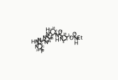 CCNC(=O)OCc1ccnc(C(=O)N[C@@H]2CCC[C@H](Nc3nc(-c4n[nH]c5ncc(F)cc45)ncc3F)C2)c1